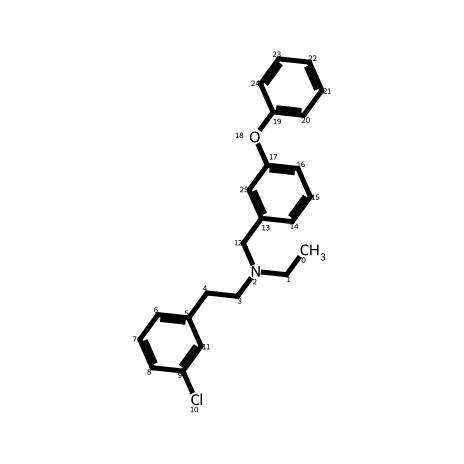 CCN(CCc1cccc(Cl)c1)Cc1cccc(Oc2ccccc2)c1